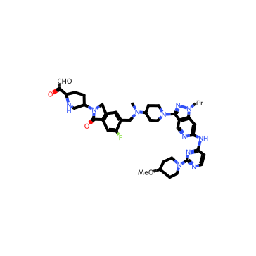 COC1CCN(c2nccc(Nc3cc4c(cn3)c(N3CCC(N(C)Cc5cc6c(cc5F)C(=O)N(C5CCC(C(=O)C=O)NC5)C6)CC3)nn4C(C)C)n2)CC1